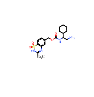 CCOC(=O)C1=Nc2cc(COC(=O)NC(CN)C3CCCCC3)ccc2S(=O)(=O)N1